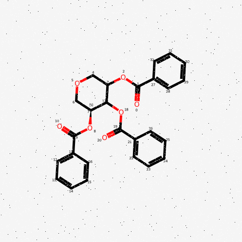 O=C(OC1COC[C@H](OC(=O)c2ccccc2)C1OC(=O)c1ccccc1)c1ccccc1